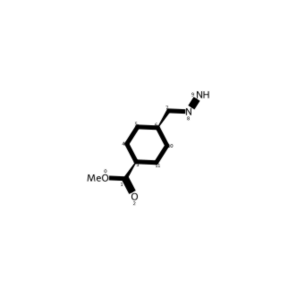 COC(=O)[C@H]1CC[C@@H](CN=N)CC1